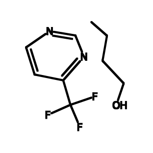 CCCCO.FC(F)(F)c1ccncn1